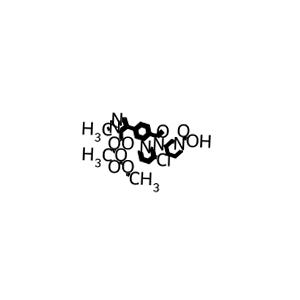 CCOC(=O)OC(C)OC(=O)c1c(-c2ccc(C(=O)N(c3ncccc3Cl)[C@@H]3CCCN(C(=O)O)C3)cc2)cnn1C